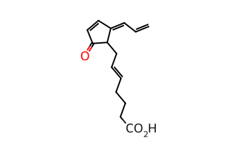 C=CC=C1C=CC(=O)C1CC=CCCCC(=O)O